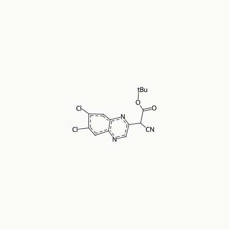 CC(C)(C)OC(=O)C(C#N)c1cnc2cc(Cl)c(Cl)cc2n1